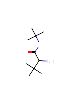 CC(C)(C)NC(=O)C(N)C(C)(C)C